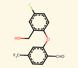 O=Cc1ccc(C(F)(F)F)cc1Oc1ccc(F)cc1CO